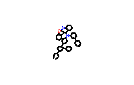 c1ccc(-c2cccc(N(c3ccc(-c4ccc(-c5ccccc5)cc4-c4ccccc4)cc3)c3c4ccccc4nc4oc5ccccc5c34)c2)cc1